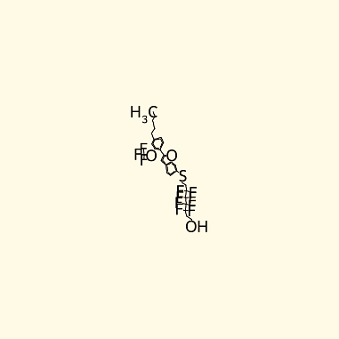 CCCCCc1ccc(-c2cc3ccc(SCCC(F)(F)C(F)(F)C(F)(F)C(F)(F)CCO)cc3o2)c(OC(F)(F)F)c1